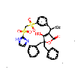 CC(C)(C)C(C1=C(O)C(Cc2ccccc2)(Cc2ccccc2)OC1=O)c1cccc(S(=O)(=O)CS(=O)(=O)c2ncc[nH]2)c1